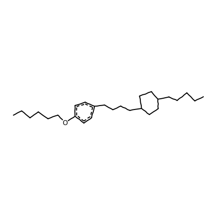 CCCCCCOc1ccc(CCCCC2CCC(CCCCC)CC2)cc1